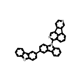 c1ccc2c(c1)oc1ccc(-c3ccc4c(c3)c3ccccc3n4-c3ncc4c5c(cccc35)-c3cnccc3-4)cc12